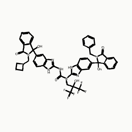 O=C(Nc1nc2cc(C3(O)c4ccccc4C(=O)N3CC3CCC3)ccc2[nH]1)N(CC(O)(C(F)(F)F)C(F)(F)F)c1nc2cc(C3(O)c4ccccc4C(=O)N3Cc3ccccc3)ccc2[nH]1